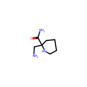 NCC1(C(N)=O)CCCCN1